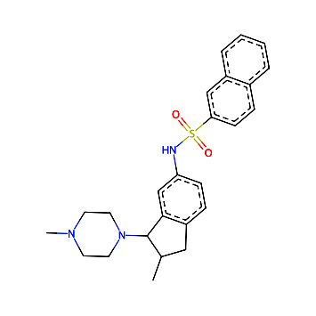 CC1Cc2ccc(NS(=O)(=O)c3ccc4ccccc4c3)cc2C1N1CCN(C)CC1